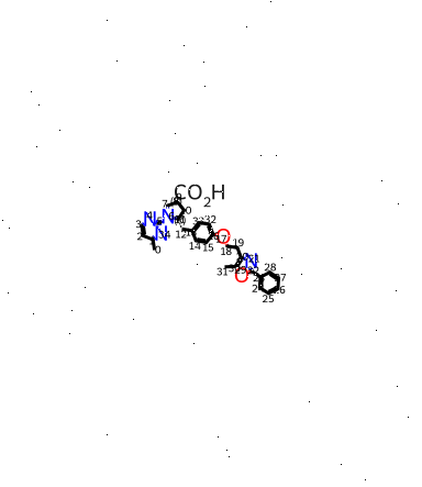 Cc1ccnc(N2C[C@@H](C(=O)O)C[C@@H]2Cc2ccc(OCCc3nc(-c4ccccc4)oc3C)cc2)n1